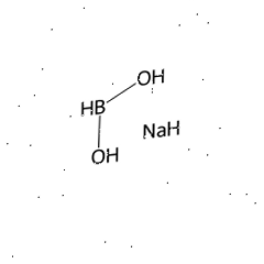 OBO.[NaH]